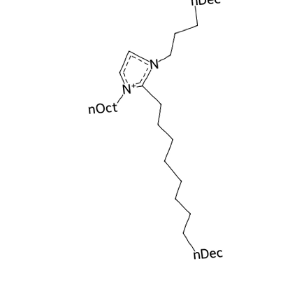 CCCCCCCCCCCCCCCCCCc1n(CCCCCCCCCCCCC)cc[n+]1CCCCCCCC